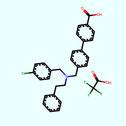 O=C(O)C(F)(F)F.O=C(O)c1ccc(-c2ccc(CN(CCc3ccccc3)Cc3ccc(Cl)cc3)cc2)cc1